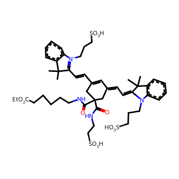 CCOC(=O)CCCCCNC(=O)C1(C(=O)NCCS(=O)(=O)O)CC(/C=C/C2=[N+](CCCS(=O)(=O)O)c3ccccc3C2(C)C)=CC(=C/C=C2/N(CCCS(=O)(=O)O)c3ccccc3C2(C)C)/C1